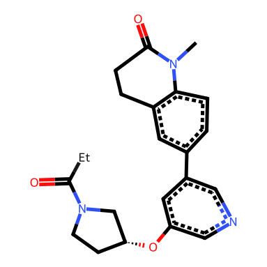 CCC(=O)N1CC[C@@H](Oc2cncc(-c3ccc4c(c3)CCC(=O)N4C)c2)C1